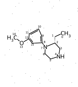 CC[C@@H]1CNCCN1c1cccc(OC)c1